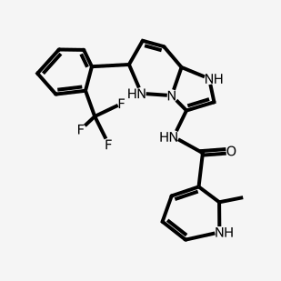 CC1NC=CC=C1C(=O)NC1=CNC2C=CC(c3ccccc3C(F)(F)F)NN12